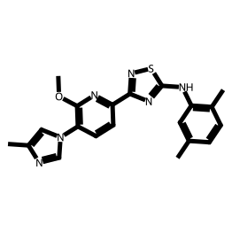 COc1nc(-c2nsc(Nc3cc(C)ccc3C)n2)ccc1-n1cnc(C)c1